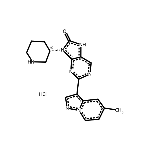 Cc1ccn2ncc(-c3ncc4[nH]c(=O)n([C@H]5CCCNC5)c4n3)c2c1.Cl